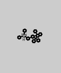 c1ccc(C2=NC(c3ccccc3)NC(c3cccc(-c4ccc5c(c4)C(c4ccccc4)(c4ccccc4)c4cc6ccccc6c(-c6ccccc6)c4-5)c3)=N2)cc1